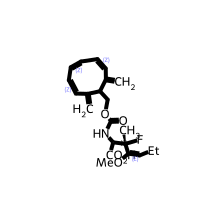 C=C1\C=C/C=C\C=C/C(=C)C1COC(=O)NC(C(=O)O)[C@](C)(F)/C(=C\CC)OC